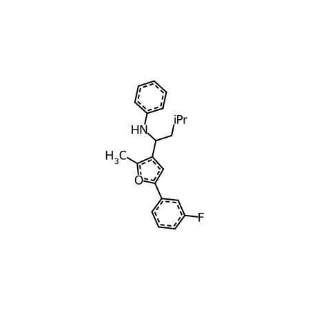 Cc1oc(-c2cccc(F)c2)cc1C(CC(C)C)Nc1ccccc1